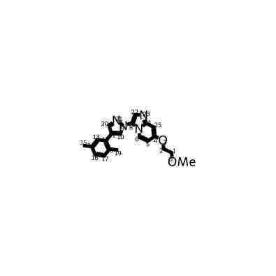 COCCOc1ccn2c(-n3cc(-c4cc(C)ccc4C)cn3)cnc2c1